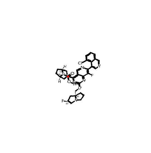 CC(C)(C)OC(=O)N1[C@@H]2CC[C@H]1CN(c1nc(OC[C@]34CCCN3C[C@@H](F)C4)nc3c(F)c(-c4cncc5cccc(Cl)c45)ncc13)C2